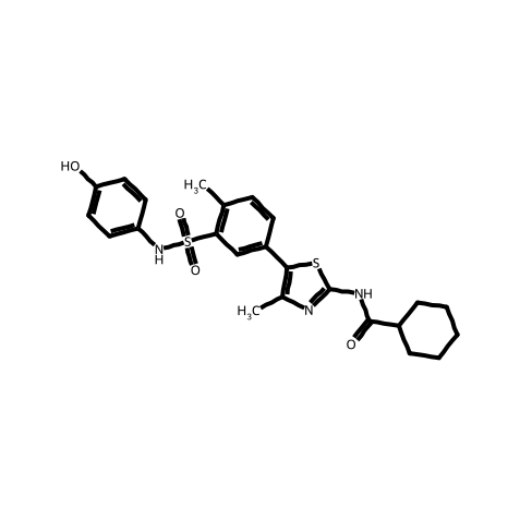 Cc1ccc(-c2sc(NC(=O)C3CCCCC3)nc2C)cc1S(=O)(=O)Nc1ccc(O)cc1